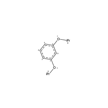 CC(C)Oc1cccc(OC(C)C)c1